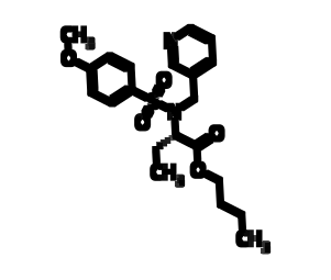 CCCCOC(=O)[C@H](CC)N(Cc1cccnc1)S(=O)(=O)c1ccc(OC)cc1